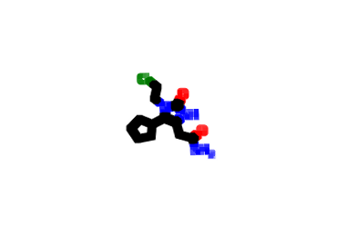 NC(=O)Cc1[nH]c(=O)n(CCCl)c1C1CCCC1